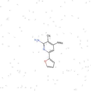 CNc1cc(-c2ccco2)nc(N)c1C#N